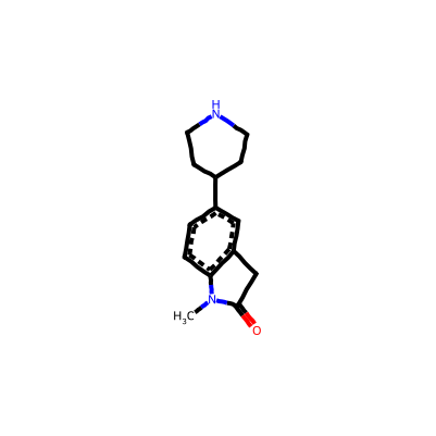 CN1C(=O)Cc2cc(C3CCNCC3)ccc21